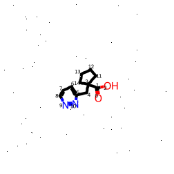 O=C(O)C1(Cc2cccnn2)CCCC1